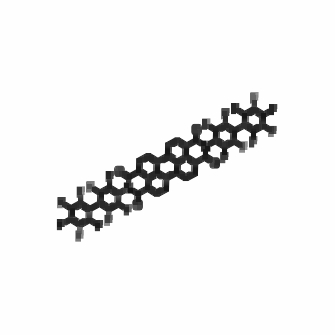 O=C1c2ccc3c4ccc5c6c(ccc(c7ccc(c2c37)C(=O)N1c1c(F)c(F)c(-c2c(F)c(F)c(F)c(F)c2F)c(F)c1F)c64)C(=O)N(c1c(F)c(F)c(-c2c(F)c(F)c(F)c(F)c2F)c(F)c1F)C5=O